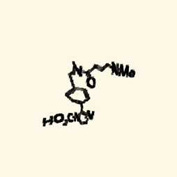 CNCC=CC(=O)N(C)Cc1ccc(C2=NCCN2C(=O)O)cc1